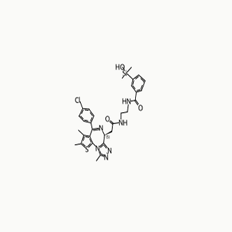 Cc1sc2c(c1C)C(c1ccc(Cl)cc1)=N[C@@H](CC(=O)NCCNC(=O)c1cccc([Si](C)(C)O)c1)c1nnc(C)n1-2